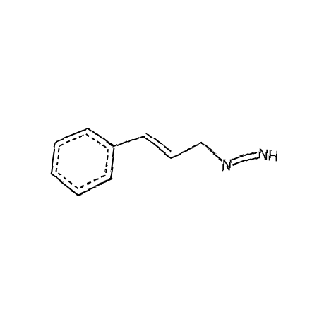 N=NC/C=C/c1ccccc1